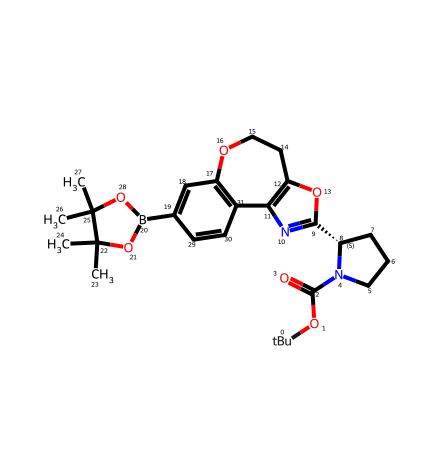 CC(C)(C)OC(=O)N1CCC[C@H]1c1nc2c(o1)CCOc1cc(B3OC(C)(C)C(C)(C)O3)ccc1-2